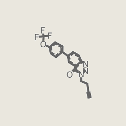 C#CCCn1nnc2ccc(-c3ccc(OC(F)(F)F)cc3)cc2c1=O